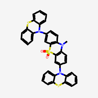 CN1c2ccc(N3c4ccccc4Sc4ccccc43)cc2S(=O)(=O)c2cc(N3c4ccccc4Sc4ccccc43)ccc21